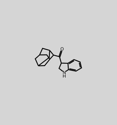 O=C(C1CNc2ccccc21)C1C2CC3CC(C2)CC1C3